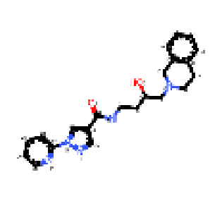 O=C(NCCC(O)CN1CCc2ccccc2C1)c1cnn(-c2ccccn2)c1